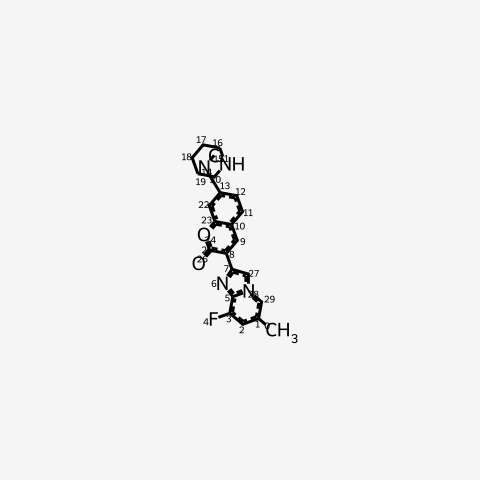 Cc1cc(F)c2nc(-c3cc4ccc(N5CC6CCC5CN6)cc4oc3=O)cn2c1